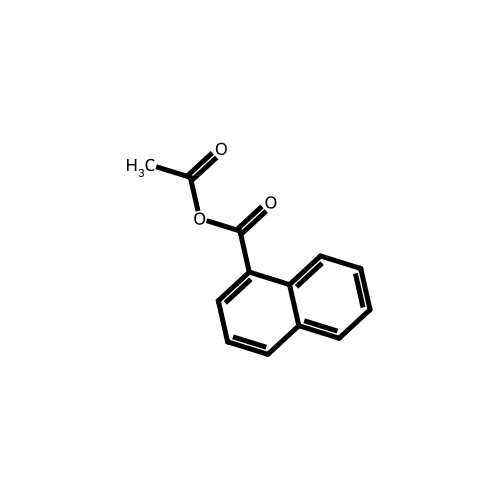 CC(=O)OC(=O)c1cccc2ccccc12